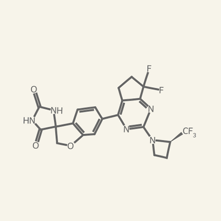 O=C1NC(=O)C2(COc3cc(-c4nc(N5CC[C@@H]5C(F)(F)F)nc5c4CCC5(F)F)ccc32)N1